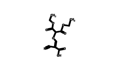 CCOC(=O)C(O/C=C(\C#N)C(=O)O)C(=O)OCC